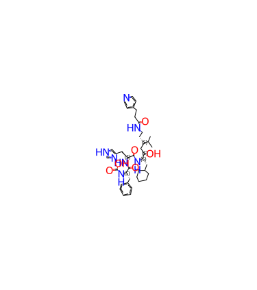 CC(C)[C@@H](CCNC(=O)CCc1ccncc1)C[C@H](O)[C@H](CC1CCCCC1)NC(=O)[C@H](Cc1c[nH]cn1)NC(=O)[C@H](Cc1ccccc1)NC(=O)O